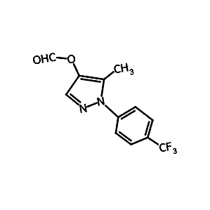 Cc1c(OC=O)cnn1-c1ccc(C(F)(F)F)cc1